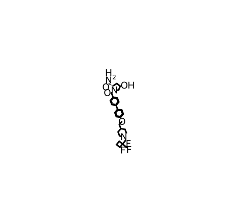 NC(=O)[C@@H]1C[C@@H](O)CN1C(=O)c1ccc(-c2ccc(OCC3CCN(CC4(C(F)(F)F)CCC4)CC3)cc2)cc1